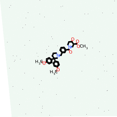 COC(=O)C1CN(C(=O)c2cccc(CN3CCCC(c4ccc(OC)cc4)(c4ccc(OC)cc4)C3)c2)CCC1=O